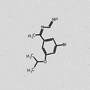 C/C(=N/C=N)c1cc(Br)cc(OC(C)C)c1